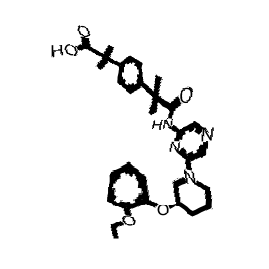 CCOc1ccccc1O[C@@H]1CCCN(c2cncc(NC(=O)C(C)(C)c3ccc(C(C)(C)C(=O)O)cc3)n2)C1